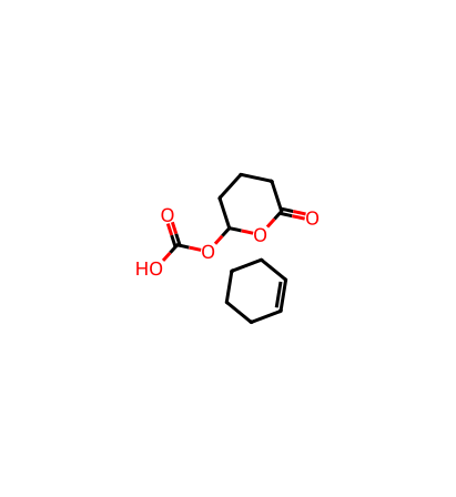 C1=CCCCC1.O=C(O)OC1CCCC(=O)O1